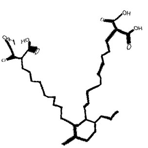 CCCC1CCC(C)C(CCCCCCCCCC(C(=O)O)C(=O)O)C1CCCCCCCCCC(C(=O)O)C(=O)O